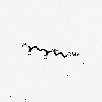 COCCCNC(=O)CCCC(=O)C(C)C